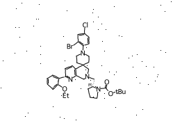 CCOc1ccccc1-c1ccc2c(n1)CN(C[C@H]1CCCN1C(=O)OC(C)(C)C)CC21CCN(c2ccc(Cl)cc2Br)CC1